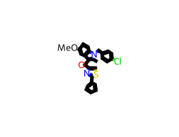 COc1ccc2c(c1)c(C(=O)c1csc(-c3ccccc3)n1)c(C)n2Cc1ccc(Cl)cc1